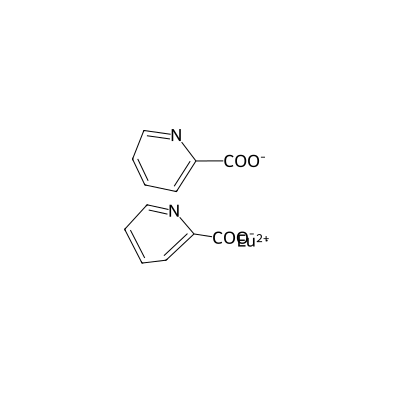 O=C([O-])c1ccccn1.O=C([O-])c1ccccn1.[Eu+2]